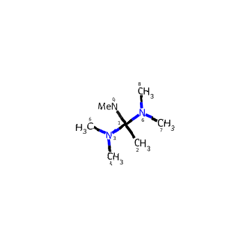 CNC(C)(N(C)C)N(C)C